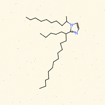 CCCCCCCCCCCCC(CCCCC)c1nccn1C(C)CCCCCCCC